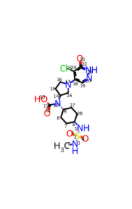 CNS(=O)(=O)N[C@H]1CC[C@H](N(C(=O)O)C2CCN(c3cn[nH]c(=O)c3Cl)C2)CC1